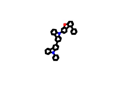 c1ccc(-c2cccc3oc4cc(-n5c6ccccc6c6cc(-c7ccc8c(c7)c7ccccc7n8-c7ccccc7)ccc65)ccc4c23)cc1